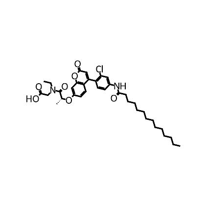 CCCCCCCCCCCCCC(=O)Nc1ccc(-c2cc(=O)oc3cc(O[C@H](C)C(=O)N(CC)CC(=O)O)ccc23)c(Cl)c1